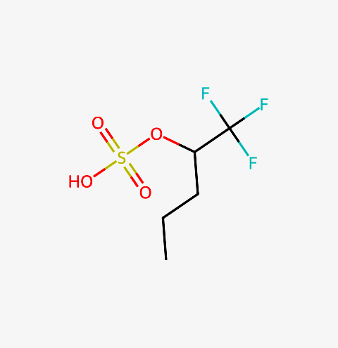 CCCC(OS(=O)(=O)O)C(F)(F)F